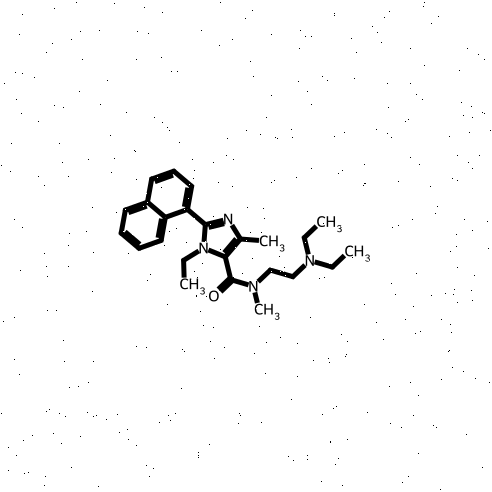 CCN(CC)CCN(C)C(=O)c1c(C)nc(-c2cccc3ccccc23)n1CC